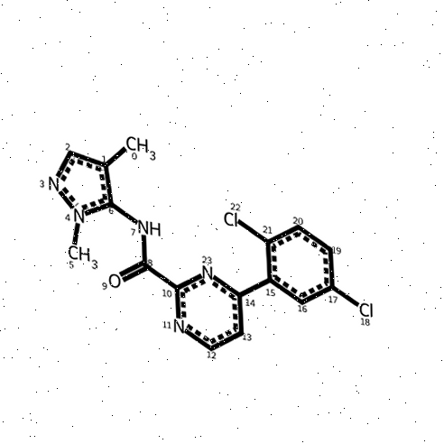 Cc1cnn(C)c1NC(=O)c1nccc(-c2cc(Cl)ccc2Cl)n1